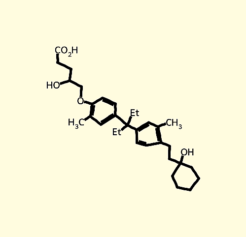 CCC(CC)(c1ccc(CCC2(O)CCCCC2)c(C)c1)c1ccc(OCC(O)CCC(=O)O)c(C)c1